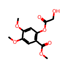 COC(=O)c1cc(OC)c(OC)cc1OC(=O)CO